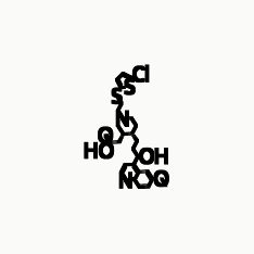 COc1ccc2nccc([C@H](O)CC[C@@H]3CCN(CCSc4ccc(Cl)s4)C[C@@H]3CC(=O)O)c2c1